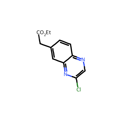 CCOC(=O)Cc1ccc2ncc(Cl)nc2c1